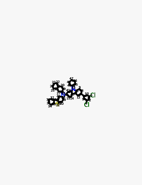 Clc1cc(Cl)cc(-c2ccc3c(c2)c2ccc(N(c4ccc5ccccc5c4)c4ccc5sc6ccccc6c5c4)cc2n3-c2ccccc2)c1